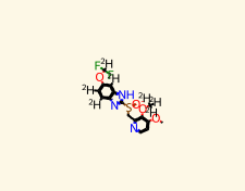 [2H]c1c(OC([2H])(F)F)c([2H])c2[nH]c([S+]([O-])Cc3nccc(OC)c3OC([2H])([2H])[2H])nc2c1[2H]